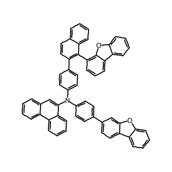 c1ccc2c(-c3cccc4c3oc3ccccc34)c(-c3ccc(N(c4ccc(-c5ccc6c(c5)oc5ccccc56)cc4)c4cc5ccccc5c5ccccc45)cc3)ccc2c1